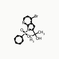 CC(C)(O)c1cc2c(Br)ccnc2n1S(=O)(=O)c1ccccc1